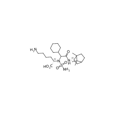 CC1(C)C2CCC1(C)[C@@H](NC(=O)C(C1CCCCC1)N([C@@H](CCCCN)C(=O)O)S(N)(=O)=O)C2